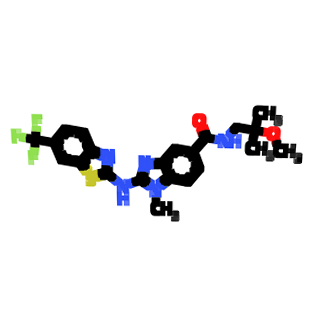 COC(C)(C)CNC(=O)c1ccc2c(c1)nc(Nc1nc3ccc(C(F)(F)F)cc3s1)n2C